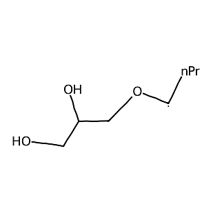 CCC[CH]OCC(O)CO